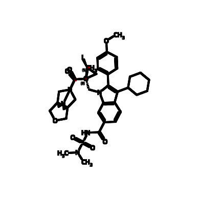 COC(=O)N1CC23COCC2(C1)CN(C(=O)[C@]1(Cn2c(-c4ccc(OC)cc4)c(C4CCCCC4)c4ccc(C(=O)NS(=O)(=O)N(C)C)cc42)C[C@@H]1I)C3